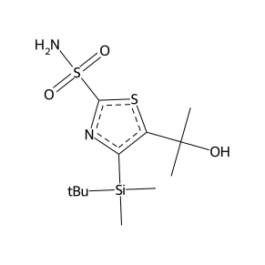 CC(C)(O)c1sc(S(N)(=O)=O)nc1[Si](C)(C)C(C)(C)C